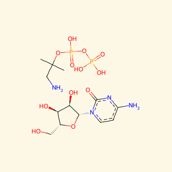 CC(C)(CN)OP(=O)(O)OP(=O)(O)O.Nc1ccn([C@@H]2O[C@H](CO)[C@@H](O)[C@H]2O)c(=O)n1